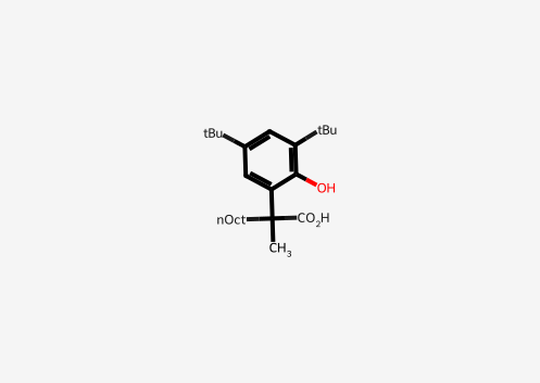 CCCCCCCCC(C)(C(=O)O)c1cc(C(C)(C)C)cc(C(C)(C)C)c1O